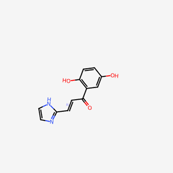 O=C(/C=C/c1ncc[nH]1)c1cc(O)ccc1O